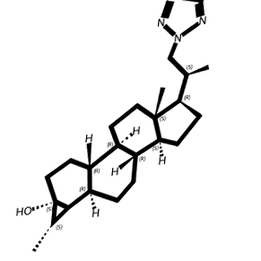 Cc1nnn(C[C@@H](C)[C@H]2CC[C@H]3[C@@H]4CC[C@H]5C6[C@H](C)[C@@]6(O)CC[C@@H]5[C@H]4CC[C@]23C)n1